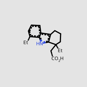 CCc1cccc2c3c([nH]c12)C(CC)(CC(=O)O)CCC3